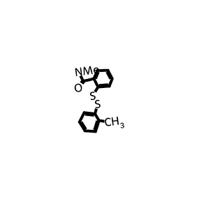 CNC(=O)c1ccccc1SSc1ccccc1C